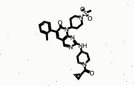 Cc1ccccc1-c1cc2cnc(NC3CCN(C(=O)C4CC4)CC3)nc2n(C2CCN(S(C)(=O)=O)CC2)c1=O